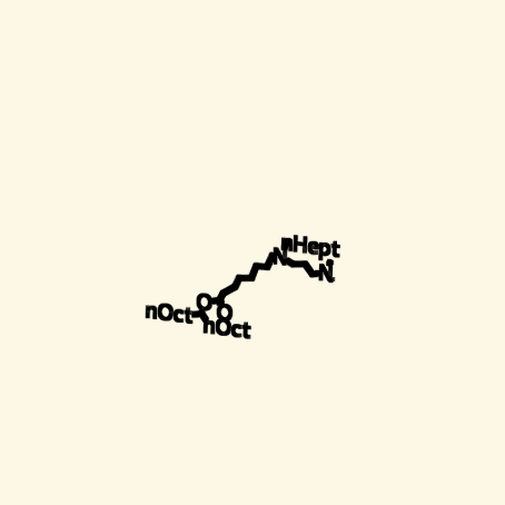 CCCCCCCCC(CCCCCCCC)OC(=O)CCCCCCCN(CCCCCCC)CCCN(C)C